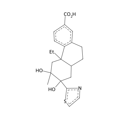 CCC12CC(C)(O)C(O)(c3nccs3)CC1CCc1cc(C(=O)O)ccc12